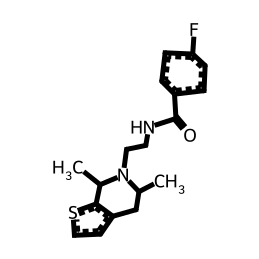 CC1Cc2ccsc2C(C)N1CCNC(=O)c1ccc(F)cc1